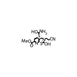 COC(=O)c1ccc(CN(CCC#N)C(O)=S)cn1.NC(O)=S